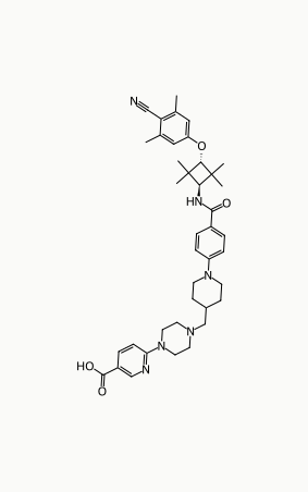 Cc1cc(O[C@H]2C(C)(C)[C@H](NC(=O)c3ccc(N4CCC(CN5CCN(c6ccc(C(=O)O)cn6)CC5)CC4)cc3)C2(C)C)cc(C)c1C#N